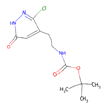 CC(C)(C)OC(=O)NCCc1cc(=O)[nH]nc1Cl